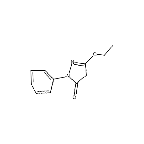 CCOC1=NN(c2ccccc2)C(=O)C1